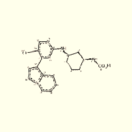 O=C(O)N[C@H]1CCC[C@@H](Nc2ncc(Cl)c(-c3cnn4ccccc34)n2)C1